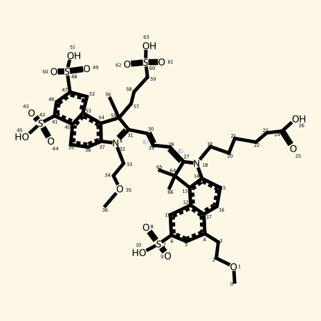 COCCc1cc(S(=O)(=O)O)cc2c3c(ccc12)N(CCCCCC(=O)O)/C(=C/C=C/C1=[N+](CCOC)c2ccc4c(S(=O)(=O)O)cc(S(=O)(=O)O)cc4c2C1(C)CCCS(=O)(=O)O)C3(C)C